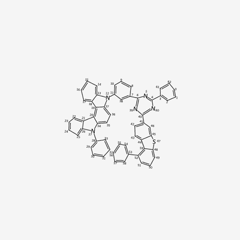 c1ccc(-c2nc(-c3cccc(-n4c5ccccc5c5c6c7ccccc7n(-c7ccccc7)c6ccc54)c3)nc(-c3ccc4c(c3)sc3cccc(-c5ccccc5)c34)n2)cc1